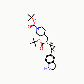 CC(C)(C)OC(=O)N1CCC(CN(C(=O)OC(C)(C)C)[C@@H]2C[C@H]2c2ccc3c(c2)CCN3)CC1